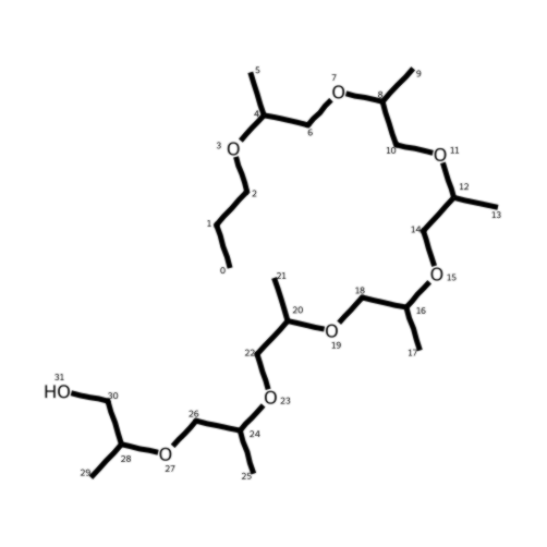 CCCOC(C)COC(C)COC(C)COC(C)COC(C)COC(C)COC(C)CO